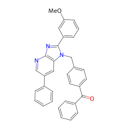 COc1cccc(-c2nc3ncc(-c4ccccc4)cc3n2Cc2ccc(C(=O)c3ccccc3)cc2)c1